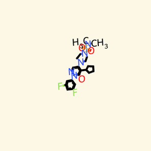 CN(C)S(=O)(=O)N1CCN(c2cnn(-c3cc(F)cc(F)c3)c(=O)c2C2CCCC2)CC1